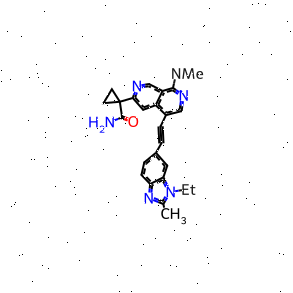 CCn1c(C)nc2ccc(C#Cc3cnc(NC)c4cnc(C5(C(N)=O)CC5)cc34)cc21